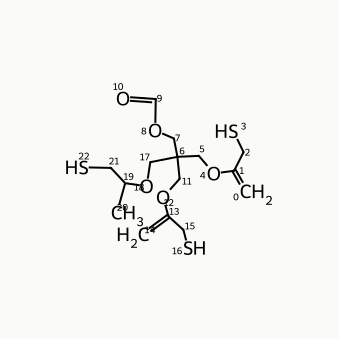 C=C(CS)OCC(COC=O)(COC(=C)CS)COC(C)CS